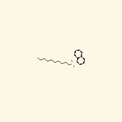 CCCCCCCCCC[N+](C)(C)c1cccc2ccccc12.[OH-]